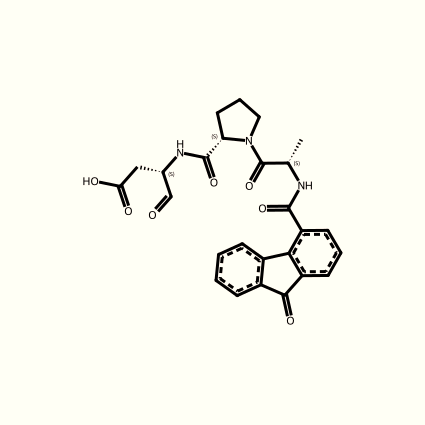 C[C@H](NC(=O)c1cccc2c1-c1ccccc1C2=O)C(=O)N1CCC[C@H]1C(=O)N[C@H](C=O)CC(=O)O